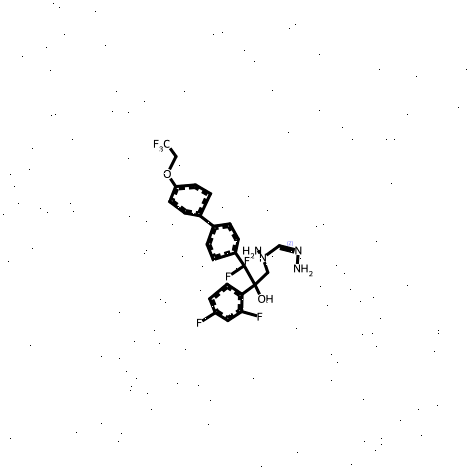 N/N=C\N(N)CC(O)(c1ccc(F)cc1F)C(F)(F)c1ccc(-c2ccc(OCC(F)(F)F)cc2)cc1